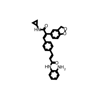 Nc1ccccc1NC(=O)/C=C/c1ccc(/C=C(/C(=O)NC2CC2)c2ccc3c(c2)COO3)cc1